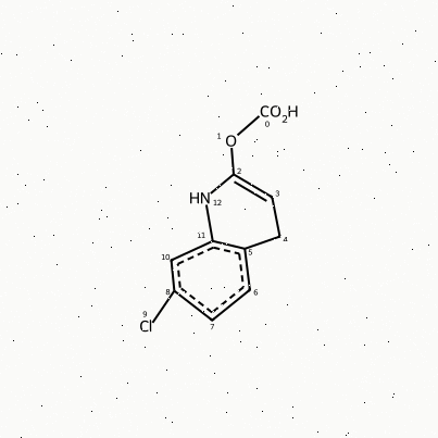 O=C(O)OC1=CCc2ccc(Cl)cc2N1